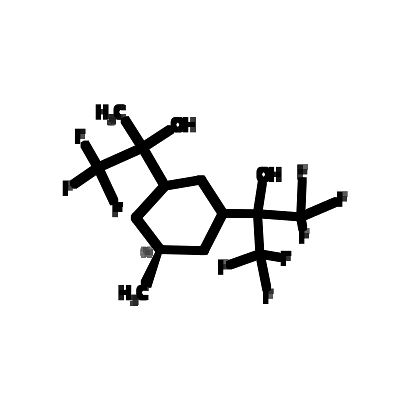 C[C@H]1CC(C(C)(O)C(F)(F)F)CC(C(O)(C(F)(F)F)C(F)(F)F)C1